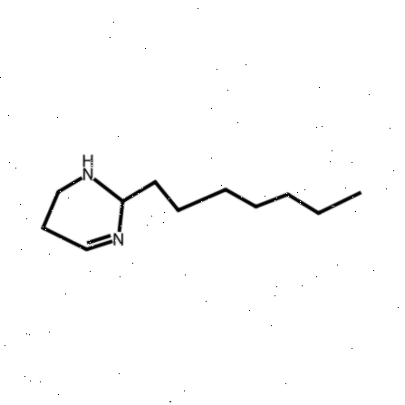 CCCCCCCC1N=CCCN1